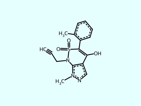 C#CCN1c2c(cnn2C)C(O)=C(c2ccccc2C)S1(=O)=O